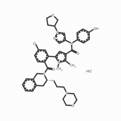 Cc1c(C(=O)N(c2ccc(O)cc2)c2cnn(C3CCOC3)c2)cc(-c2cc(Cl)ccc2C(=O)N2Cc3ccccc3C[C@H]2CCCN2CCOCC2)n1C.Cl